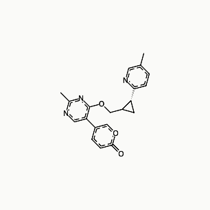 Cc1ccc([C@@H]2CC2COc2nc(C)ncc2-c2ccc(=O)oc2)nc1